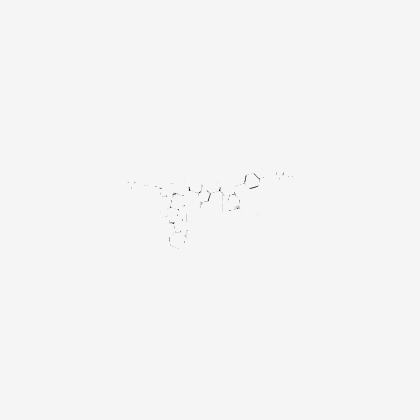 CCC(C)C(NC(=O)C1CCCCN1C)C(=O)N(CCOC)[C@H](CC(=O)c1nc(C(=O)N[C@@H](Cc2ccc(OC)cc2)C[C@H](C)C(=O)O)cs1)C(C)C